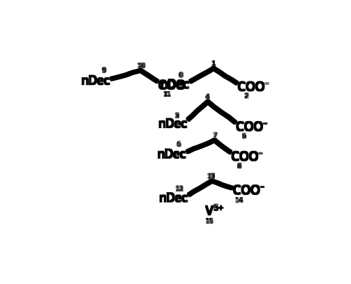 CCCCCCCCCCCC(=O)[O-].CCCCCCCCCCCC(=O)[O-].CCCCCCCCCCCC(=O)[O-].CCCCCCCCCCCC(=O)[O-].CCCCCCCCCCCC(=O)[O-].[V+5]